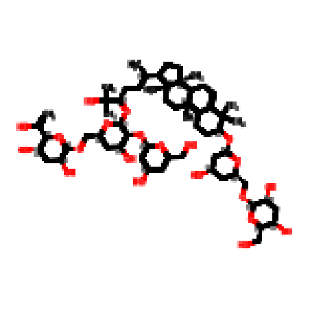 C=C(O)[C@H]1O[C@H](OC[C@@H]2C[C@H](O)C(O[C@H]3C[C@@H](O)CC(CO)O3)[C@H](O[C@H](CC[C@@H](C)C3CC[C@@]4(C)C5CC=C6C(CC[C@H](O[C@H]7C[C@@H](O)C[C@@H](CO[C@H]8O[C@H](CO)[C@@H](O)C[C@H]8O)O7)C6(C)C)[C@]5(C)CC[C@]34C)C(C)(C)O)O2)[C@H](O)C[C@@H]1O